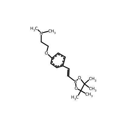 CN(C)CCOc1ccc(C=CB2OC(C)(C)C(C)(C)O2)cc1